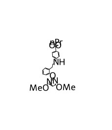 CCCOC(=O)c1ccc(NCCc2ccccc2Oc2nc(OC)cc(OC)n2)cc1